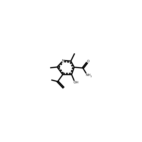 C=C(C)c1c(C)nc(C)c(C(N)=O)c1O